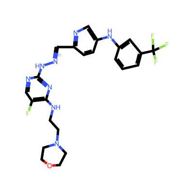 Fc1cnc(N/N=C/c2ccc(Nc3cccc(C(F)(F)F)c3)cn2)nc1NCCN1CCOCC1